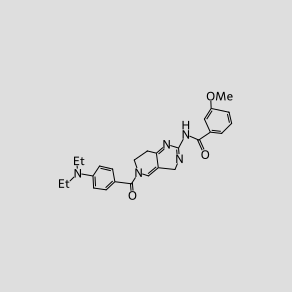 CCN(CC)c1ccc(C(=O)N2C=C3CN=C(NC(=O)c4cccc(OC)c4)N=C3CC2)cc1